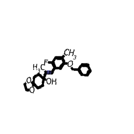 C/C(=C\c1cc(OCc2ccccc2)c(C)cc1F)C1(O)CCC2(CC1)OCCO2